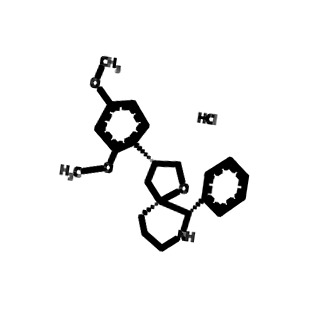 COc1ccc([C@@H]2CO[C@]3(CCCN[C@H]3c3ccccc3)C2)c(OC)c1.Cl